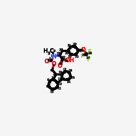 CN(C(=O)OCC1c2ccccc2-c2ccccc21)C(Cc1ccc(OC(F)(F)F)cc1)C(=O)O